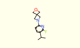 CC(C)c1ccc(N2CC3(COC3)C2)nc1F